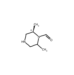 CC1CNC[C@@H](C)N1C=O